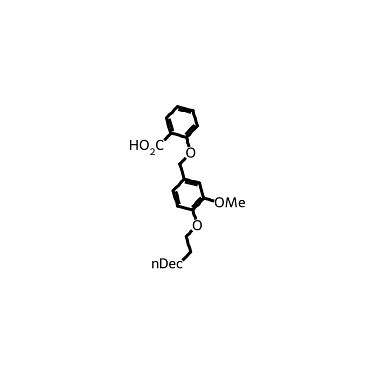 CCCCCCCCCCCCOc1ccc(COc2ccccc2C(=O)O)cc1OC